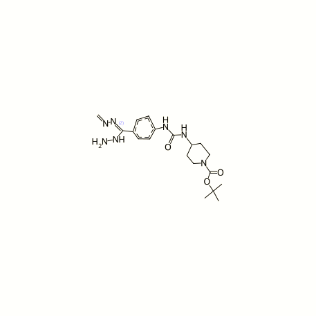 C=N/N=C(\NN)c1ccc(NC(=O)NC2CCN(C(=O)OC(C)(C)C)CC2)cc1